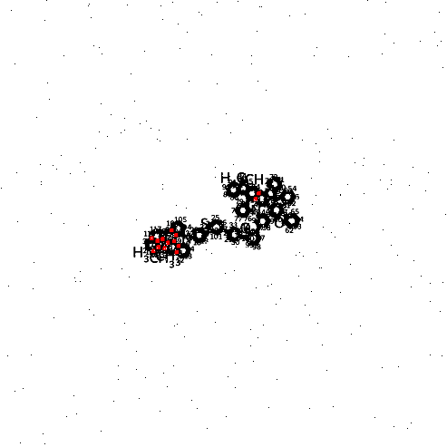 Cc1cccc2c1oc1c(-c3ccccc3N(c3ccc4c(c3)sc3ccc(-c5ccc6c(c5)oc5c(-c7cccc(N(c8ccc9c(c8)C(c8ccccc8)(c8ccc%10oc%11ccccc%11c%10c8)c8ccccc8-9)c8ccccc8-c8cccc9c8-c8ccccc8C9(C)C)c7)cccc56)cc34)c3ccccc3-c3cccc4c3-c3ccccc3C4(C)C)cccc12